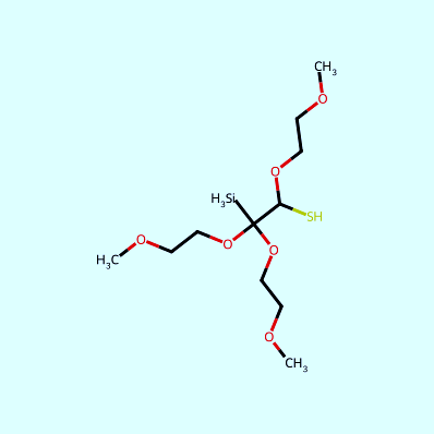 COCCOC(S)C([SiH3])(OCCOC)OCCOC